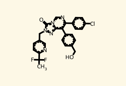 CC(F)(F)c1ccc(Cn2nc3c(-c4ccc(CO)cc4)c(-c4ccc(Cl)cc4)ncn3c2=O)cn1